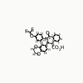 O=C(O)[C@H]1c2ccccc2C(=O)N(c2ccc(OC(F)F)cc2)[C@@H]1c1ccc2c(c1)OCCO2